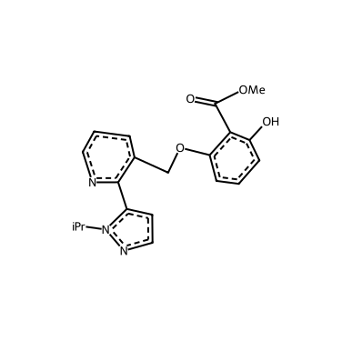 COC(=O)c1c(O)cccc1OCc1cccnc1-c1ccnn1C(C)C